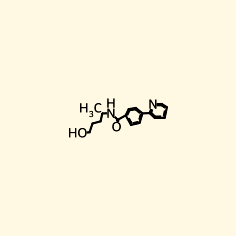 CC(CCCO)NC(=O)c1ccc(-c2ccccn2)cc1